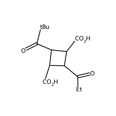 CCC(=O)C1C(C(=O)O)C(C(=O)C(C)(C)C)C1C(=O)O